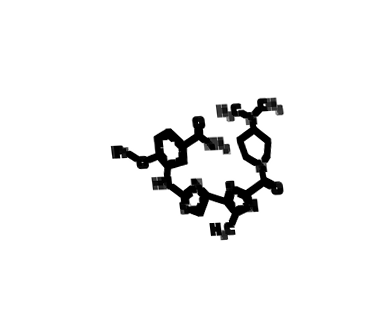 Cc1nc(C(=O)N2CCC(N(C)C)CC2)sc1-c1csc(Nc2cc(C(N)=O)ccc2OC(C)C)n1